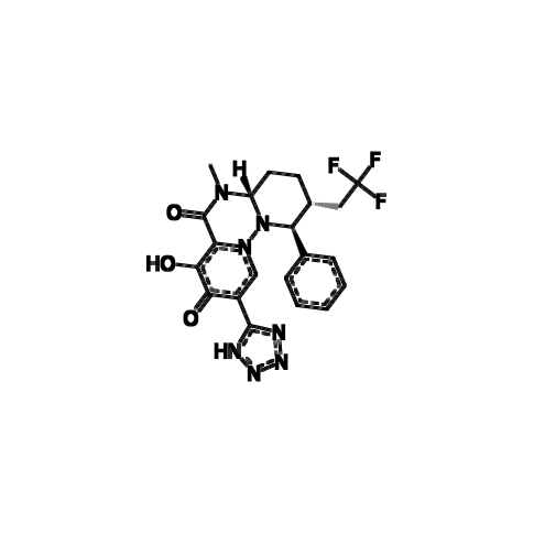 CN1C(=O)c2c(O)c(=O)c(-c3nnn[nH]3)cn2N2[C@H](c3ccccc3)[C@@H](CC(F)(F)F)CC[C@@H]12